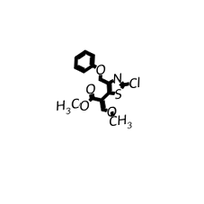 CO/C=C(/C(=O)OC)c1sc(Cl)nc1COc1ccccc1